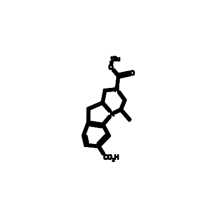 CC1CN(C(=O)OC(C)(C)C)CC2Cc3ccc(C(=O)O)cc3N12